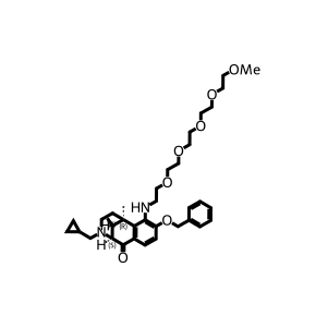 COCCOCCOCCOCCOCCNc1c(OCc2ccccc2)ccc2c1[C@]1(C)CCN(CC3CC3)[C@H](C2=O)[C@@H]1C